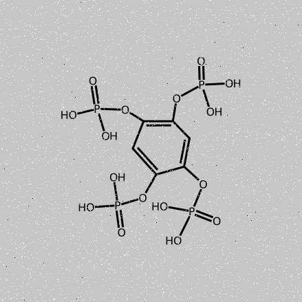 O=P(O)(O)Oc1cc(OP(=O)(O)O)c(OP(=O)(O)O)cc1OP(=O)(O)O